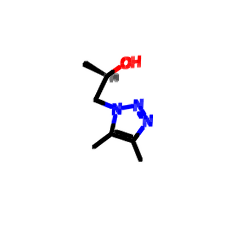 Cc1nnn(C[C@@H](C)O)c1C